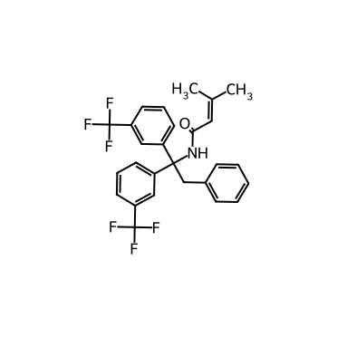 CC(C)=CC(=O)NC(Cc1ccccc1)(c1cccc(C(F)(F)F)c1)c1cccc(C(F)(F)F)c1